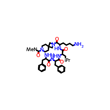 CNC(=O)N1CCC2(CC1)CN(C(=O)C(CCCCN)NC(=O)C(CC(C)C)NC(=O)C(Cc1ccccc1)NC(=O)C(N)Cc1ccccc1)C2